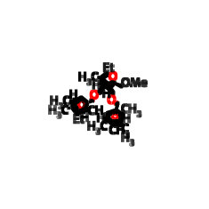 CCC1O[C@@]2(COC)C[C@@H](COC[C@]34C[C@@H](C)[C@](C)(C[C@@H]3C)C(CC)O4)[C@]1(C)C[C@@H]2COC[C@@]12C[C@@H](C)[C@@](C)(C[C@@H]1C)C(C)O2